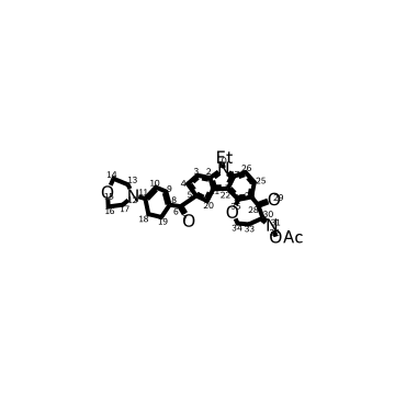 CCn1c2ccc(C(=O)C3=CC=C(N4CCOCC4)CC3)cc2c2c3c(ccc21)C(=O)/C(=N/OC(C)=O)CCO3